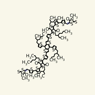 CCCCC(CC)Cc1ccc(-c2c3cc(-c4ccc(C5=C6C(=O)N(CC(CC)CCCC)C(c7ccc(-c8ccc(/C=C9/SC(=S)N(CC)C9=O)s8)s7)=C6C(=O)N5CC(CC)CCCC)s4)sc3c(-c3ccc(CC(CC)CCCC)s3)c3cc(-c4ccc(C5=C6C(=O)N(CC(CC)CCCC)C(c7ccc(-c8ccc(/C=C9/SC(=S)N(CC)C9=O)s8)s7)=C6C(=O)N5CC(CC)CCCC)s4)sc23)s1